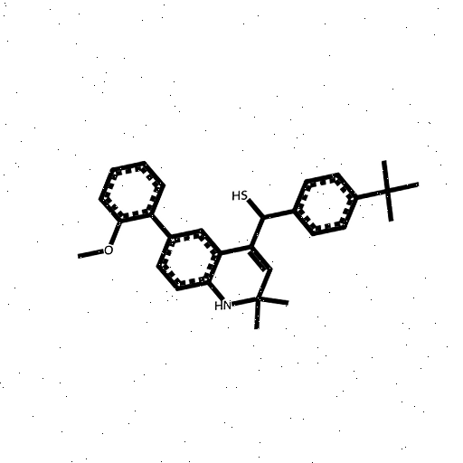 COc1ccccc1-c1ccc2c(c1)C(C(S)c1ccc(C(C)(C)C)cc1)=CC(C)(C)N2